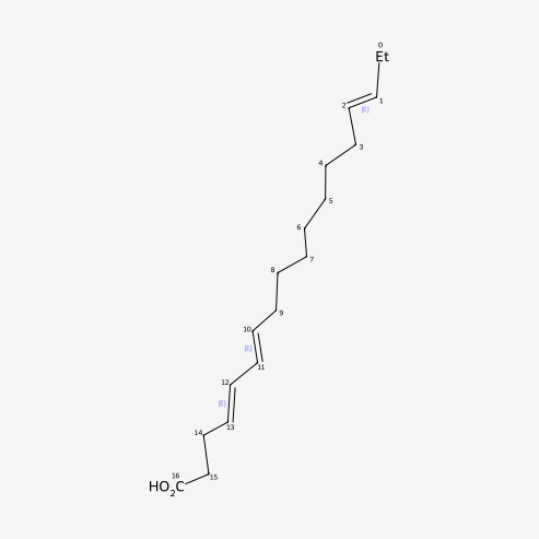 CC/C=C/CCCCCCC/C=C/C=C/CCC(=O)O